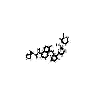 Cc1ccc2c(NC(=O)[C@@H]3CC34CCC4)cccc2c1Oc1ncccc1-c1ccnc(N[C@H]2CCCNC2)n1